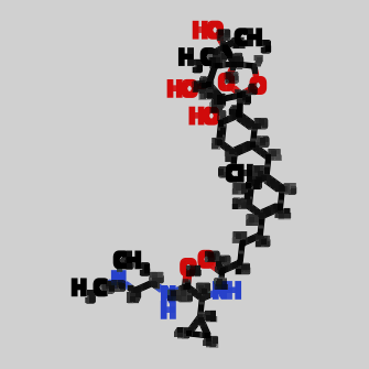 Cc1ccc([C@@]23OC[C@@](C(C)(C)O)(C[C@H](O)[C@H]2O)O3)cc1Cc1ccc(CCCC(=O)NC(C(=O)NCCN(C)C)C2CC2)cc1